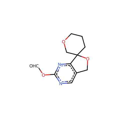 O=COc1ncc2c(n1)C1(CCCOC1)OC2